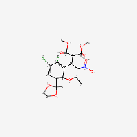 CCOc1c(C2(C)OCCO2)cc(Cl)c(F)c1C(C[N+](=O)[O-])C(C(=O)OC)C(=O)OC